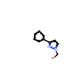 BrCn1ccc(-c2ccccc2)n1